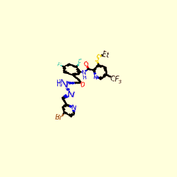 CCSc1cc(C(F)(F)F)cnc1C(=O)Nc1c(F)cc(F)cc1C(=O)NN=Cc1cc(Br)ccn1